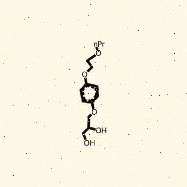 CCCOCCOc1ccc(OCC(O)CO)cc1